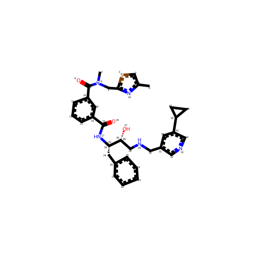 Cc1csc(CN(C)C(=O)c2cccc(C(=O)N[C@@H](Cc3ccccc3)[C@H](O)CNCc3cncc(C4CC4)c3)c2)n1